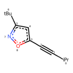 CC(C)C#Cc1cc(C(C)(C)C)no1